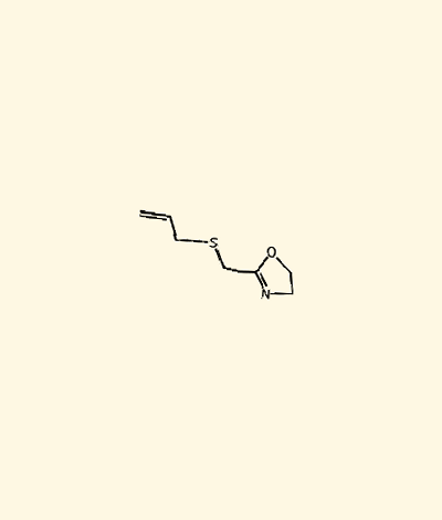 C=CCSCC1=NCCO1